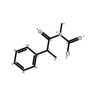 CC(C(=O)N(C)C(=O)Cl)c1ccccc1